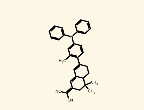 Cc1cc(N(c2ccccc2)c2ccccc2)ccc1C1=CC2=CC(=C(C#N)C#N)CC(C)(C)C2CC1